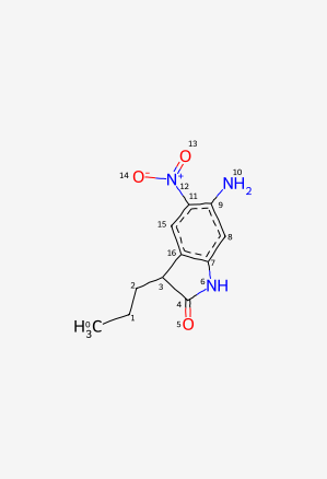 CCCC1C(=O)Nc2cc(N)c([N+](=O)[O-])cc21